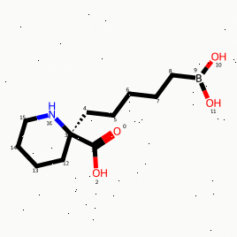 O=C(O)[C@@]1(CCCCCB(O)O)CCCCN1